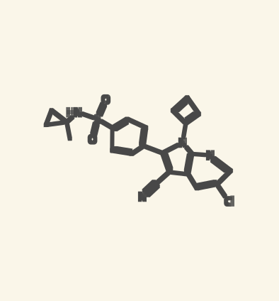 CC1(NS(=O)(=O)c2ccc(-c3c(C#N)c4cc(Cl)cnc4n3C3=CC=C3)cc2)CC1